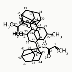 C=CC(=O)OC1(C2CCC(C34CC5CC(C3)C(OC(=O)C(=C)C)(C3CCCC(C)C3)C(C5)C4)C(C)C2)C2CC3CC(C2)CC1C3